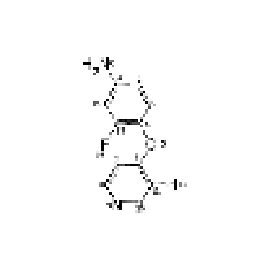 Nc1ccc(Oc2ccncc2I)c(F)c1